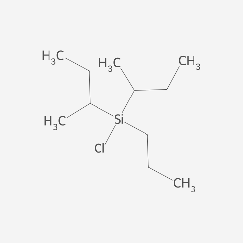 CCC[Si](Cl)(C(C)CC)C(C)CC